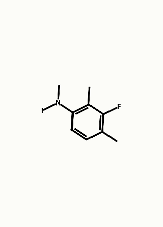 Cc1ccc(N(C)I)c(C)c1F